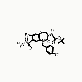 CC(C)(C)OC(=O)N[C@H]1CSc2cc(Br)c(C(=O)NN)cc2N(Cc2ccc(Cl)cc2)C1=O